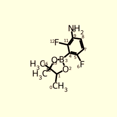 CC1OB(c2c(F)ccc(N)c2F)OC1(C)C